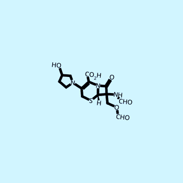 O=CNC1(COC=O)C(=O)N2C(C(=O)O)=C(N3CCC(O)C3)CS[C@H]21